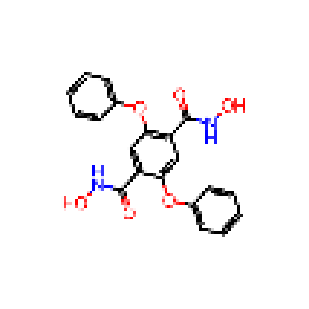 O=C(NO)c1cc(Oc2ccccc2)c(C(=O)NO)cc1Oc1ccccc1